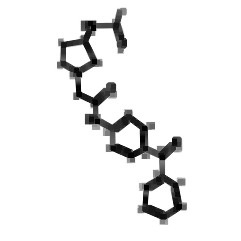 CC(=O)NC1CCN(CC(=O)Nc2ccc(C(=O)c3ccccc3)cc2)C1